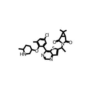 Cc1cc(Cl)cc(-c2ncnc3cc(C(C)N4C(=O)C5C(C4=O)C5(C)C)sc23)c1OC1CCC(C)NC1